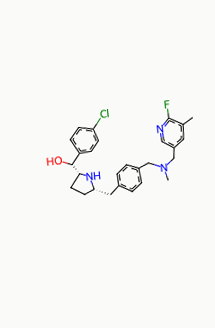 Cc1cc(CN(C)Cc2ccc(C[C@@H]3CC[C@H](C(O)c4ccc(Cl)cc4)N3)cc2)cnc1F